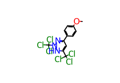 COc1ccc(C2=NN(C(Cl)(Cl)Cl)NC(C(Cl)(Cl)Cl)=C2)cc1